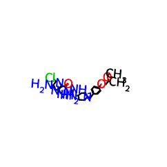 C=C(COc1ccc(CN2CCC(N/C(N)=N/C(=O)c3nc(Cl)c(N)nc3N)CC2)cc1)OC